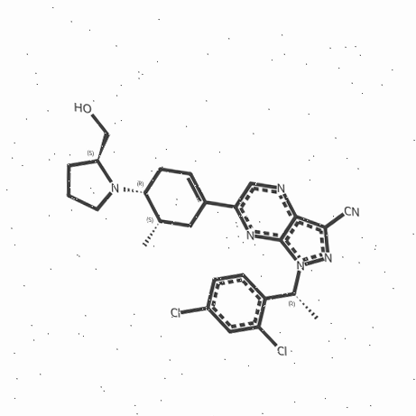 C[C@H](c1ccc(Cl)cc1Cl)n1nc(C#N)c2ncc(C3=CC[C@@H](N4CCC[C@H]4CO)[C@@H](C)C3)nc21